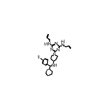 C=CCNc1nc(NCC=C)nc(N2CCC(NC(c3ccc(F)cc3)C3CCCCC3)CC2)n1